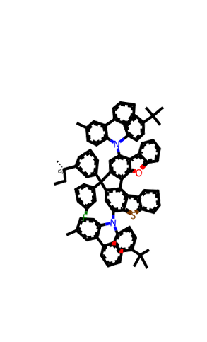 CC[C@H](C)c1cccc(C2(c3cccc(F)c3)c3cc(N(c4ccc(C(C)(C)C)cc4)c4ccc(C)cc4-c4ccccc4)c4c(oc5ccccc54)c3-c3c2cc(N(c2ccc(C(C)(C)C)cc2)c2ccc(C)cc2-c2ccccc2)c2sc4ccccc4c32)c1